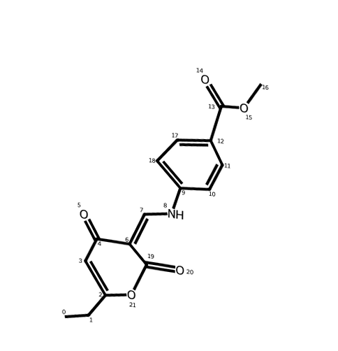 CCC1=CC(=O)C(=CNc2ccc(C(=O)OC)cc2)C(=O)O1